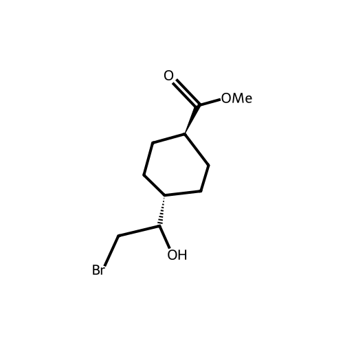 COC(=O)[C@H]1CC[C@H](C(O)CBr)CC1